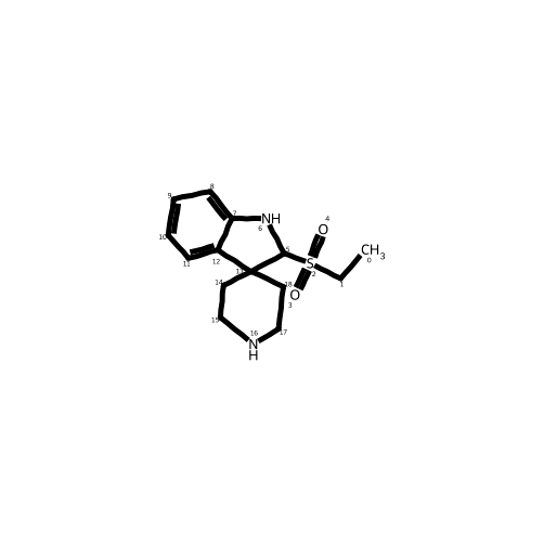 CCS(=O)(=O)C1Nc2ccccc2C12CCNCC2